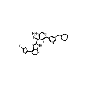 Fc1ccc(-c2ccnc3[nH]c(-c4n[nH]c5cnc(-c6cncc(CN7CCCCC7)c6)c(F)c45)nc23)s1